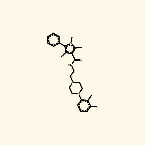 Cc1cccc(N2CCN(CCNC(=O)c3c(C)c(-c4ccccc4)n(C)c3C)CC2)c1C